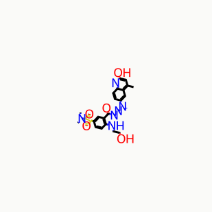 Cc1cc(O)nc2ccc(N=[N+]=NC(=O)c3cc(S(=O)(=O)N(C)C)ccc3NCCO)cc12